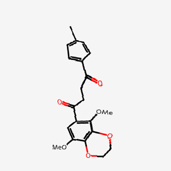 COc1cc(C(=O)CCC(=O)c2ccc(C)cc2)c(OC)c2c1OCCO2